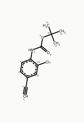 C#Cc1ccc(NC(=O)OC(C)(C)C)c(Cl)c1